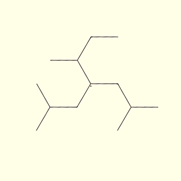 CCC(C)[C](CC(C)C)CC(C)C